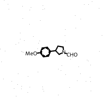 COc1ccc(C2CCN(C=O)C2)cc1